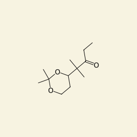 CCC(=O)C(C)(C)C1CCOC(C)(C)O1